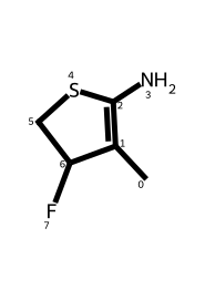 CC1=C(N)SCC1F